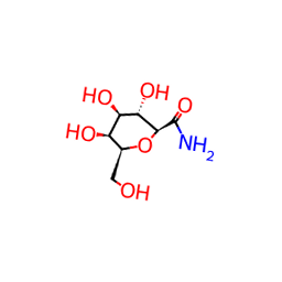 NC(=O)[C@H]1O[C@@H](CO)[C@@H](O)[C@@H](O)[C@@H]1O